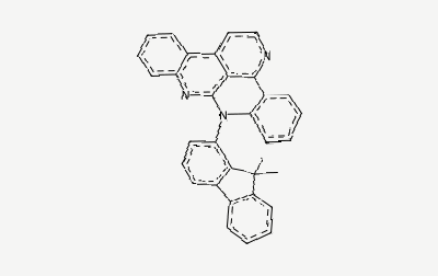 CC1(C)c2ccccc2-c2cccc(N3c4ccccc4-c4nccc5c4c3nc3ccccc35)c21